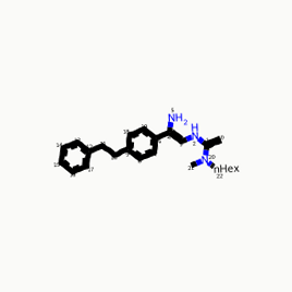 C=C(N/C=C(\N)c1ccc(CCc2ccccc2)cc1)N(C)CCCCCC